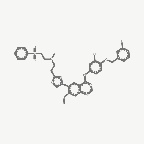 COc1cc2ncnc(Nc3ccc(OCc4cccc(F)c4)c(Cl)c3)c2cc1-c1csc(CCN(C)CCS(=O)(=O)c2ccccc2)n1